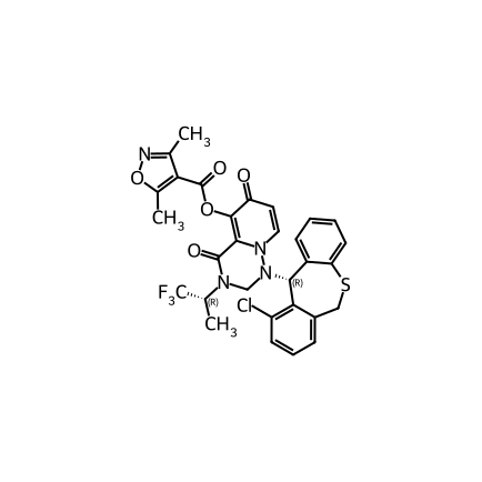 Cc1noc(C)c1C(=O)Oc1c2n(ccc1=O)N([C@@H]1c3ccccc3SCc3cccc(Cl)c31)CN([C@H](C)C(F)(F)F)C2=O